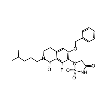 CC(C)CCCN1CCc2cc(OCc3ccccc3)c(N3CC(=O)NS3(=O)=O)c(F)c2C1=O